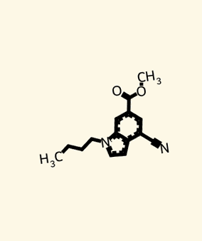 CCCCn1ccc2c(C#N)cc(C(=O)OC)cc21